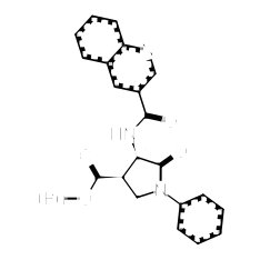 CC(C)(C)OC(=O)[C@@H]1CN(c2ccccc2)C(=O)[C@@H]1NC(=O)c1cnc2ccccc2c1